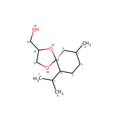 CC1CCC(C(C)C)[C@@]2(C1)OCC(CO)O2